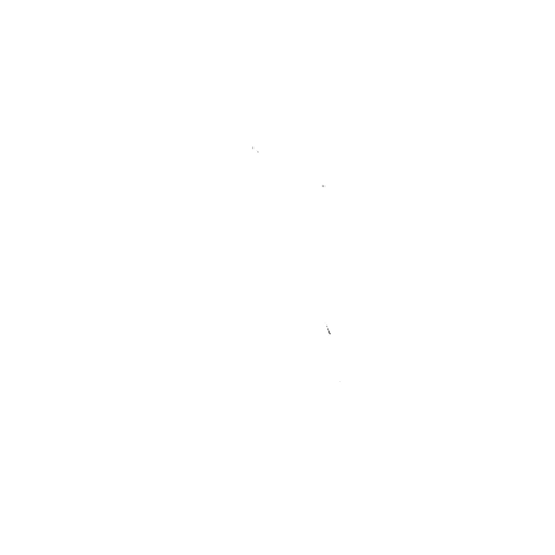 CCC[C@H]1CC[C@H](c2cc(O)c(C#N)c(F)c2)CC1